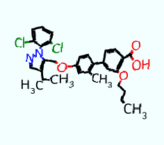 CCCCOc1cc(-c2ccc(OCc3c(C(C)C)cnn3-c3c(Cl)cccc3Cl)cc2C)ccc1C(=O)O